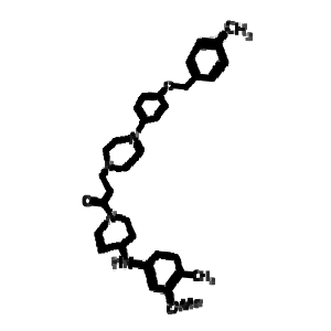 COc1cc(NC2CCN(C(=O)CCN3CCN(c4ccc(OCc5ccc(C)cc5)cc4)CC3)CC2)ccc1C